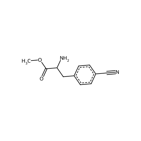 COC(=O)C(N)Cc1ccc(C#N)cc1